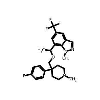 CC(OCC1(c2ccc(F)cc2)CCN(C)CC1)c1cc(C(F)(F)F)cc2cnn(C)c12